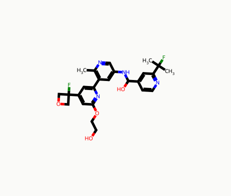 Cc1ncc(NC(O)c2ccnc(C(C)(C)F)c2)cc1-c1cc(C2(F)COC2)cc(OCCO)n1